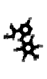 CC(C)OC(=O)c1cc(I)ccc1Oc1c(F)c(F)c(S)c(F)c1F